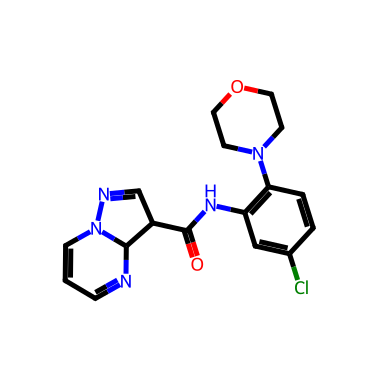 O=C(Nc1cc(Cl)ccc1N1CCOCC1)C1C=NN2C=CC=NC12